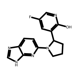 Oc1ncc(F)cc1C1CCCN1c1ccc2nc[nH]c2n1